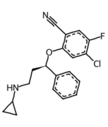 N#Cc1cc(F)c(Cl)cc1O[C@H](CCNC1CC1)c1ccccc1